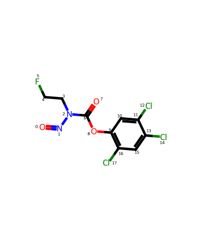 O=NN(CCF)C(=O)Oc1cc(Cl)c(Cl)cc1Cl